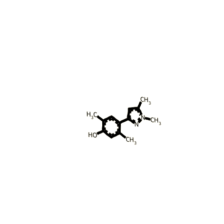 Cc1cc(-c2cc(C)n(C)n2)c(C)cc1O